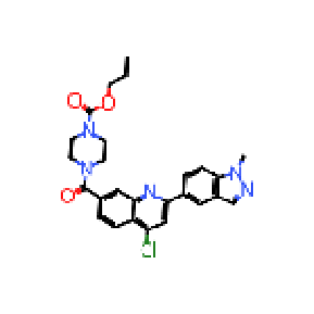 CCCOC(=O)N1CCN(C(=O)c2ccc3c(Cl)cc(-c4ccc5c(cnn5C)c4)nc3c2)CC1